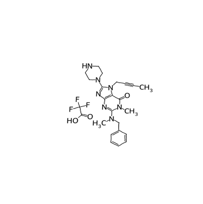 CC#CCn1c(N2CCNCC2)nc2nc(N(C)Cc3ccccc3)n(C)c(=O)c21.O=C(O)C(F)(F)F